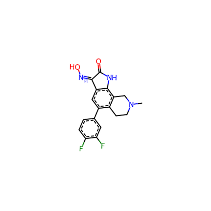 CN1CCc2c(-c3ccc(F)c(F)c3)cc3c(c2C1)NC(=O)/C3=N\O